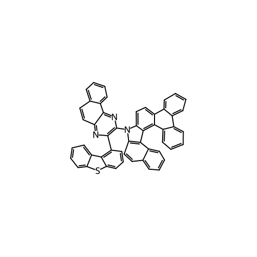 c1ccc2c(c1)ccc1nc(-c3cccc4sc5ccccc5c34)c(-n3c4ccc5ccccc5c4c4c5c6ccccc6c6ccccc6c5ccc43)nc12